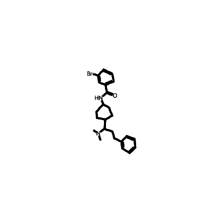 CN(C)C(CCc1ccccc1)C1CCC(NC(=O)c2cccc(Br)c2)CC1